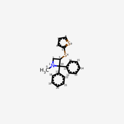 CN1CC(Sc2cccs2)C1(c1ccccc1)c1ccccc1